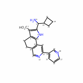 NC(c1[nH]c2c(c1C(=O)O)CCc1cnc(-c3cccnc3)cc1-2)C1CCC1